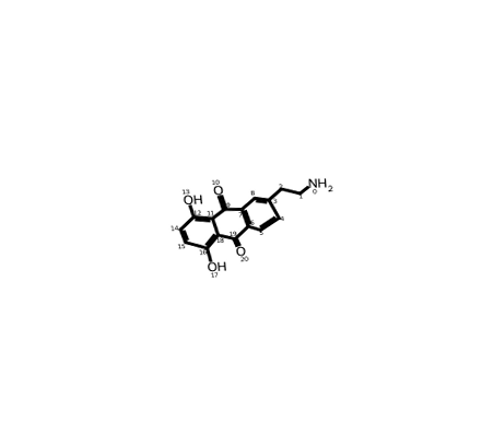 NCCc1ccc2c(c1)C(=O)c1c(O)ccc(O)c1C2=O